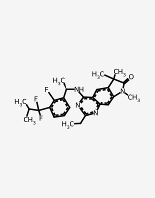 CCc1nc(N[C@H](C)c2cccc(C(F)(F)C(C)C)c2F)c2cc3c(cc2n1)N(C)C(=O)C3(C)C